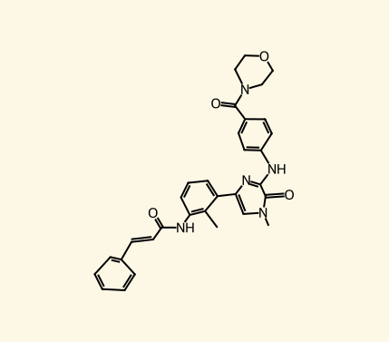 Cc1c(NC(=O)C=Cc2ccccc2)cccc1-c1cn(C)c(=O)c(Nc2ccc(C(=O)N3CCOCC3)cc2)n1